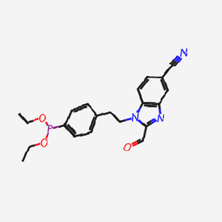 CCOP(OCC)c1ccc(CCn2c(C=O)nc3cc(C#N)ccc32)cc1